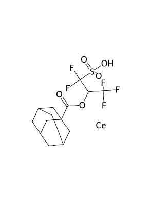 O=C(OC(C(F)(F)F)C(F)(F)S(=O)(=O)O)C12CC3CC(CC(C3)C1)C2.[Ce]